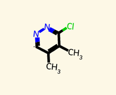 Cc1[c]nnc(Cl)c1C